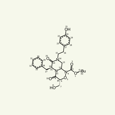 CC[C@H](C)OC(=O)N1O[C@H](CO)C(=O)N2C1CN(CCc1ccc(O)cc1)C(=O)[C@@H]2Cc1ccccc1